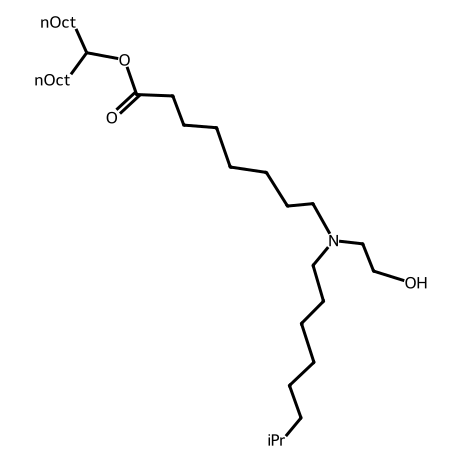 CCCCCCCCC(CCCCCCCC)OC(=O)CCCCCCCN(CCO)CCCCCCC(C)C